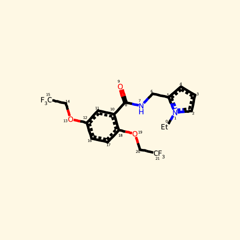 CCn1cccc1CNC(=O)c1cc(OCC(F)(F)F)ccc1OCC(F)(F)F